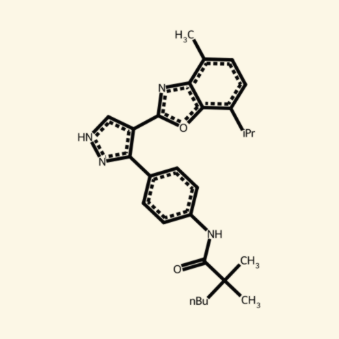 CCCCC(C)(C)C(=O)Nc1ccc(-c2n[nH]cc2-c2nc3c(C)ccc(C(C)C)c3o2)cc1